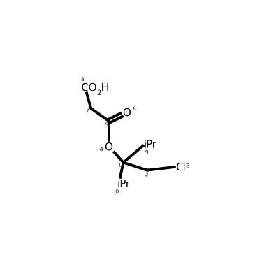 CC(C)C(CCl)(OC(=O)CC(=O)O)C(C)C